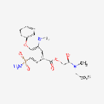 CCCCNc1cc(C(=O)OCC(=O)N(C)CC(=O)OCC)cc(S(N)(=O)=O)c1Oc1ccccc1